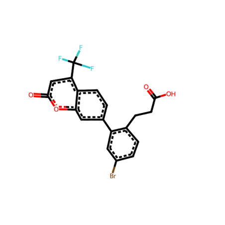 O=C(O)CCc1ccc(Br)cc1-c1ccc2c(C(F)(F)F)cc(=O)oc2c1